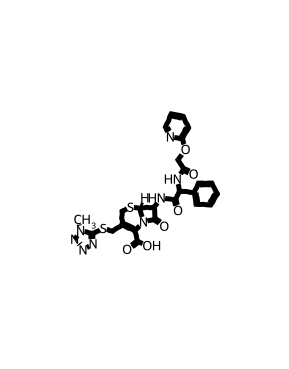 Cn1nnnc1SCC1=C(C(=O)O)N2C(=O)C(NC(=O)C(NC(=O)COc3ccccn3)c3ccccc3)[C@H]2SC1